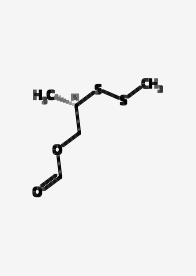 CSS[C@@H](C)COC=O